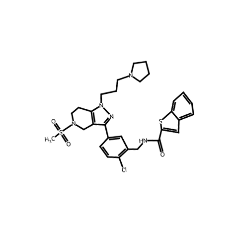 CS(=O)(=O)N1CCc2c(c(-c3ccc(Cl)c(CNC(=O)c4cc5ccccc5s4)c3)nn2CCCN2CCCC2)C1